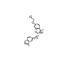 C[C@@H](NC(=O)[C@@H]1C[C@H]1c1ccc2cnn(C)c2c1)c1ccc(OCC2CC2)cn1